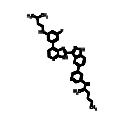 C=C(CCCC)Nc1cncc(-c2ccc3[nH]nc(-c4nc5c(-c6cc(F)cc(NCCN(C)C)c6)ccnc5[nH]4)c3n2)c1